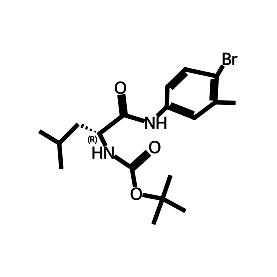 Cc1cc(NC(=O)[C@@H](CC(C)C)NC(=O)OC(C)(C)C)ccc1Br